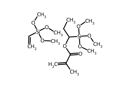 C=C(C)C(=O)OC(CC)[Si](OC)(OC)OC.C=C[Si](OC)(OC)OC